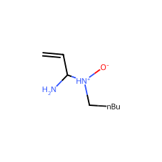 C=CC(N)[NH+]([O-])CCCCC